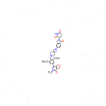 COc1cc(-c2cn(C)c(=O)c3c2COC3)cc(OC)c1CN1CCC2(CC1)CN(c1ccc3c(c1)CN(C1CCC(=O)NC1=O)C3=O)C2